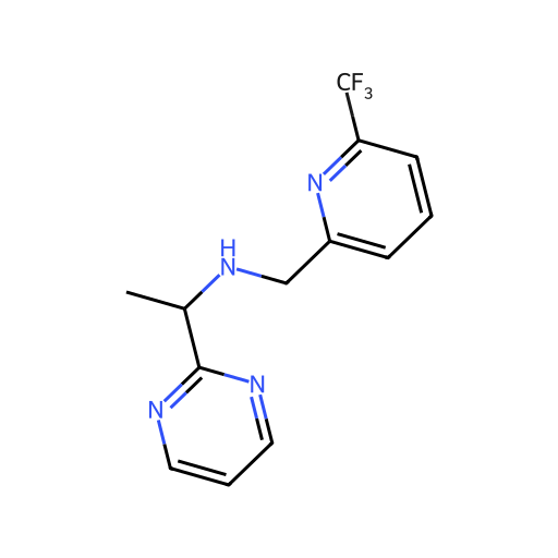 CC(NCc1cccc(C(F)(F)F)n1)c1ncccn1